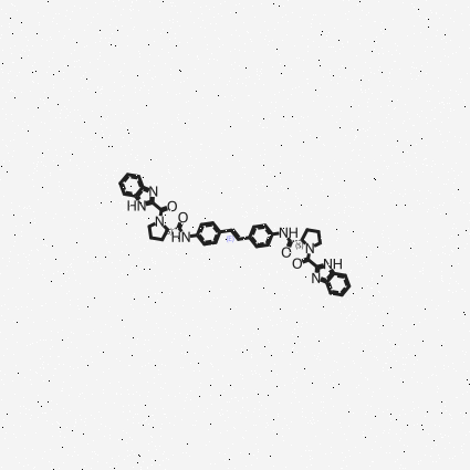 O=C(Nc1ccc(/C=C/c2ccc(NC(=O)[C@@H]3CCCN3C(=O)c3nc4ccccc4[nH]3)cc2)cc1)[C@@H]1CCCN1C(=O)c1nc2ccccc2[nH]1